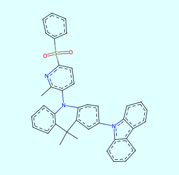 Cc1nc(S(=O)(=O)c2ccccc2)ccc1N1c2ccccc2C(C)(C)c2cc(-n3c4ccccc4c4ccccc43)ccc21